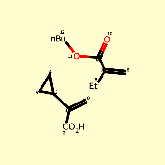 C=C(C(=O)O)C1CC1.C=C(CC)C(=O)OCCCC